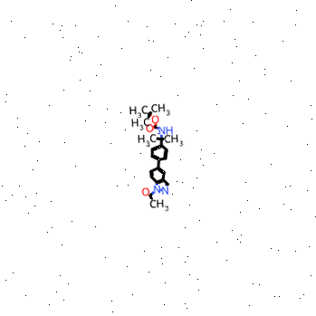 CC(=O)n1ncc2cc(-c3ccc(C(C)(C)NC(=O)OC(C)(C)C)cc3)ccc21